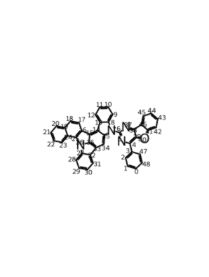 c1ccc(-c2nc(-n3c4ccccc4c4c5c6ccc7ccccc7c6n6c7ccccc7c(cc43)c56)nc3c2oc2ccccc23)cc1